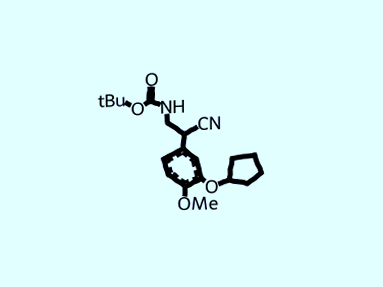 COc1ccc(C(C#N)CNC(=O)OC(C)(C)C)cc1OC1CCCC1